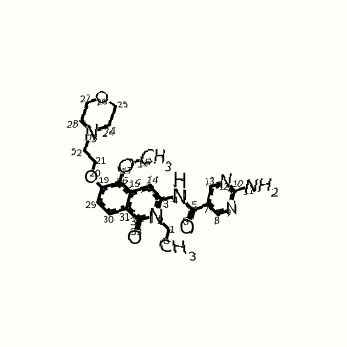 CCn1c(NC(=O)c2cnc(N)nc2)cc2c(OC)c(OCCN3CCOCC3)ccc2c1=O